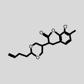 C=CCCC1OCC(C2Cc3ccc(C)c(Cl)c3OC2=O)CO1